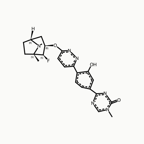 CN1[C@@H]2CC[C@@]1(C)[C@H](F)[C@H](Oc1ccc(-c3ccc(-c4ncn(C)c(=O)n4)cc3O)nn1)C2